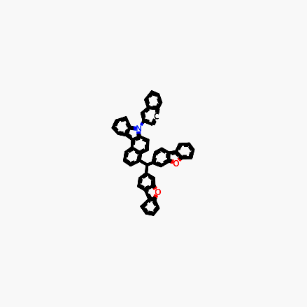 c1ccc2cc(-n3c4ccccc4c4c5cccc(C(c6ccc7c(c6)oc6ccccc67)c6ccc7c(c6)oc6ccccc67)c5ccc43)ccc2c1